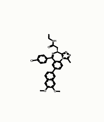 CCNC(=O)C[C@@H]1N=C(c2ccc(Cl)cc2)c2cc(-c3ccc4cc(OC)c(OC)cc4c3)ccc2-n2c(C)nnc21